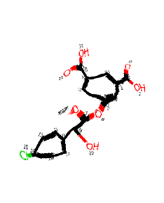 O=C(O)c1cc(OC(=O)C(O)c2ccc(Cl)cc2)cc(C(=O)O)c1